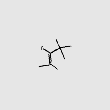 CC(C)=C(F)C(C)(C)C